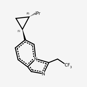 CC(C)[C@H]1C[C@@H]1c1ccc2cnc(CC(F)(F)F)n2c1